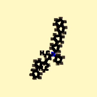 C=C/C(=C\C=C(/C)N(c1ccccc1)c1ccc(-c2ccc(-c3ccc4ccccc4c3)cc2)cc1)c1cccc(-c2ccccc2)c1